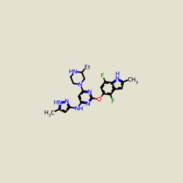 CCC1CN(c2cc(Nc3cc(C)[nH]n3)nc(Oc3cc(F)c4[nH]c(C)cc4c3F)n2)CCN1